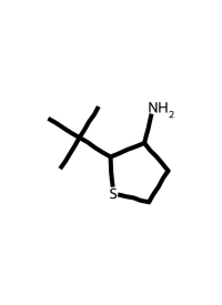 CC(C)(C)C1SCCC1N